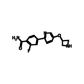 NC(=O)c1ccc(-c2ccc(OC3CNC3)cn2)cc1F